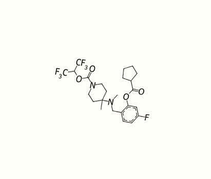 CN(Cc1ccc(F)cc1OC(=O)C1CCCC1)C1(C)CCN(C(=O)OC(C(F)(F)F)C(F)(F)F)CC1